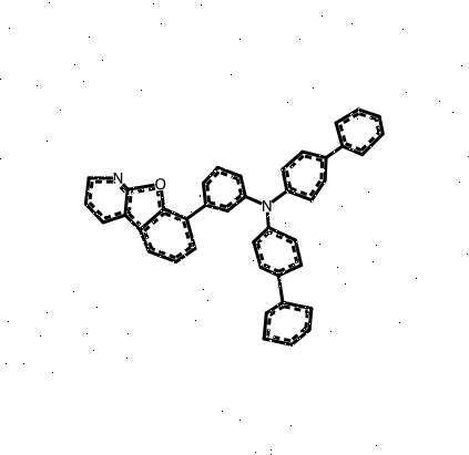 c1ccc(-c2ccc(N(c3ccc(-c4ccccc4)cc3)c3cccc(-c4cccc5c4oc4ncccc45)c3)cc2)cc1